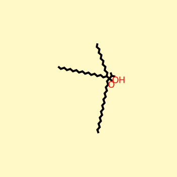 CCCCCCCCCCCCCCCCCCC(C(=O)O)(C(C)C)C(CCCCCCCCCCC)CCCCCCCCCCCCCCCC